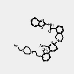 CC(=O)CN1CCN(CCc2cccc(-c3ccc(N4CCc5cccc(C(=O)Nc6nc7ccccc7s6)c5C4)nc3C(C)=O)c2C)CC1